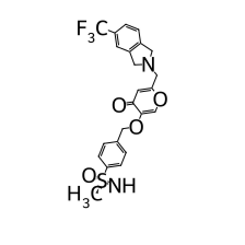 C[S@@](=N)(=O)c1ccc(COc2coc(CN3Cc4ccc(C(F)(F)F)cc4C3)cc2=O)cc1